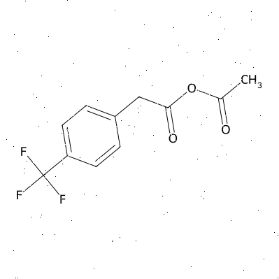 CC(=O)OC(=O)Cc1ccc(C(F)(F)F)cc1